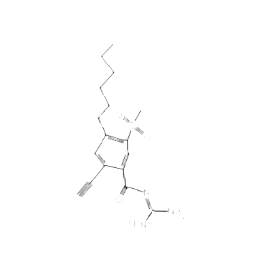 C#Cc1cc(CCCCCC)c(S(C)(=O)=O)cc1C(=O)N=C(N)N